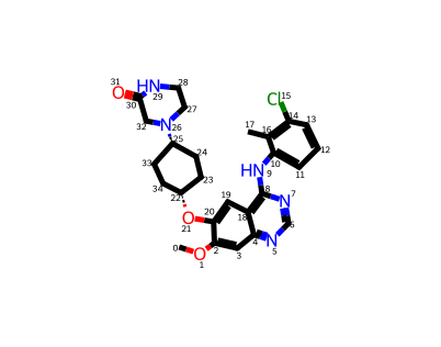 COc1cc2ncnc(Nc3cccc(Cl)c3C)c2cc1O[C@H]1CC[C@@H](N2CCNC(=O)C2)CC1